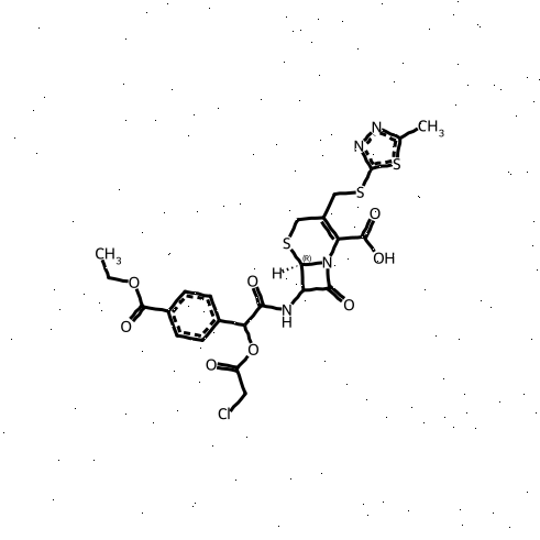 CCOC(=O)c1ccc(C(OC(=O)CCl)C(=O)NC2C(=O)N3C(C(=O)O)=C(CSc4nnc(C)s4)CS[C@H]23)cc1